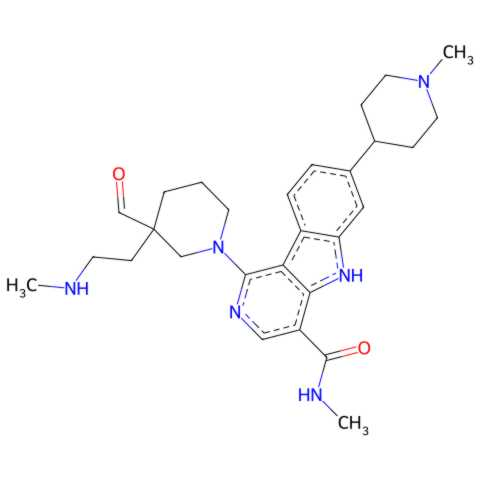 CNCCC1(C=O)CCCN(c2ncc(C(=O)NC)c3[nH]c4cc(C5CCN(C)CC5)ccc4c23)C1